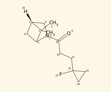 CC1(C)C2C[C@@H]1CN2C(=O)CCC1(F)CC1